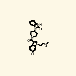 CN(C)CCn1cc(C(=O)N2CCC(n3c(=O)[nH]c4ccccc43)CC2)c2ccc(Cl)cc21